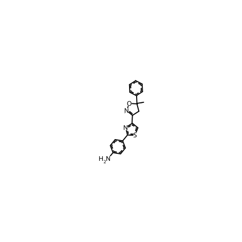 CC1(c2ccccc2)CC(c2csc(-c3ccc(N)cc3)n2)=NO1